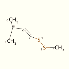 CSS/C=C/C(C)C